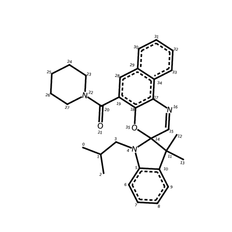 CC(C)CN1c2ccccc2C(C)(C)C12C=Nc1c(c(C(=O)N3CCCCC3)cc3ccccc13)O2